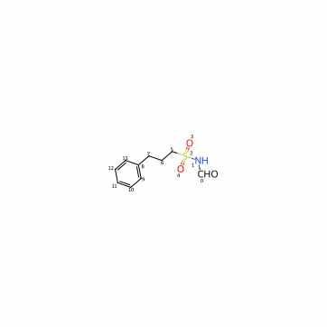 O=CNS(=O)(=O)CCCc1ccccc1